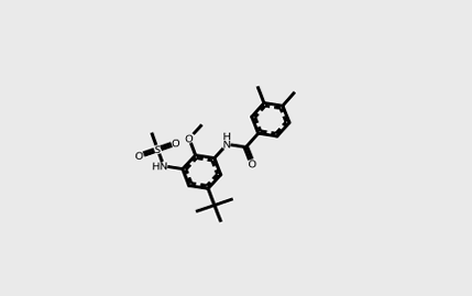 COc1c(NC(=O)c2ccc(C)c(C)c2)cc(C(C)(C)C)cc1NS(C)(=O)=O